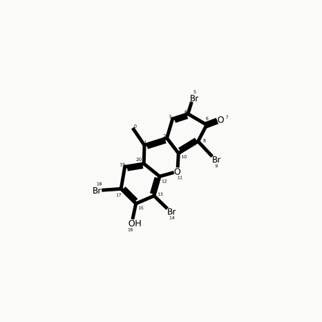 Cc1c2cc(Br)c(=O)c(Br)c-2oc2c(Br)c(O)c(Br)cc12